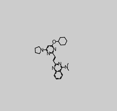 CN(C)c1nc(C=Cc2nc(OC3CCCCC3)cc(N3CCCC3)n2)nc2ccccc12